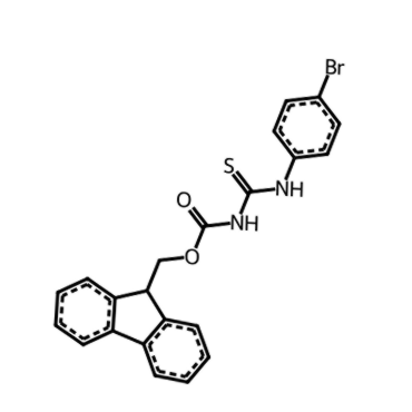 O=C(NC(=S)Nc1ccc(Br)cc1)OCC1c2ccccc2-c2ccccc21